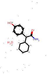 NC(=O)C(c1ccc(O)cc1)C1CCCCC1.O